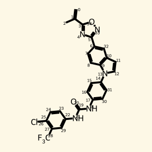 C=C(C)c1nc(-c2ccc3c(ccn3-c3ccc(NC(=O)Nc4ccc(Cl)c(C(F)(F)F)c4)cc3)c2)no1